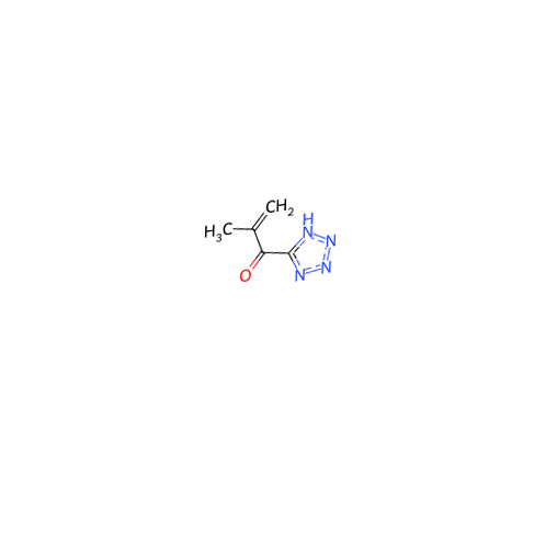 C=C(C)C(=O)c1nnn[nH]1